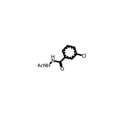 CC(=O)NNC(=O)c1cccc(Cl)c1